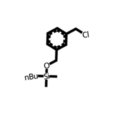 CCCC[Si](C)(C)OCc1cccc(CCl)c1